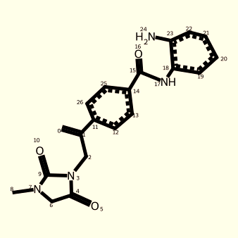 C=C(CN1C(=O)CN(C)C1=O)c1ccc(C(=O)Nc2ccccc2N)cc1